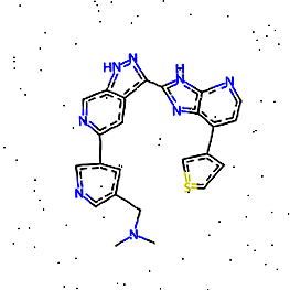 CN(C)Cc1cncc(-c2cc3c(-c4nc5c(-c6ccsc6)ccnc5[nH]4)n[nH]c3cn2)c1